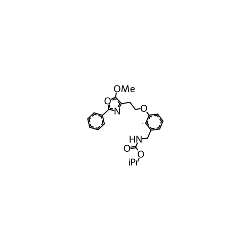 COc1oc(-c2ccccc2)nc1CCOc1[c]c(CNC(=O)OC(C)C)ccc1